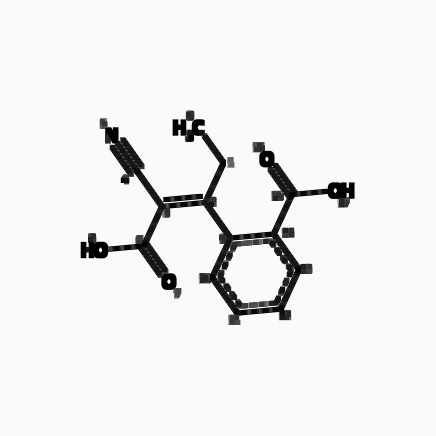 CCC(=C(C#N)C(=O)O)c1ccccc1C(=O)O